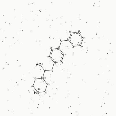 OC(Cc1ccc(Cc2ccccc2)cc1)N1CCNCC1